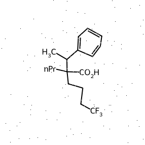 CCCC(CCCC(F)(F)F)(C(=O)O)C(C)c1ccccc1